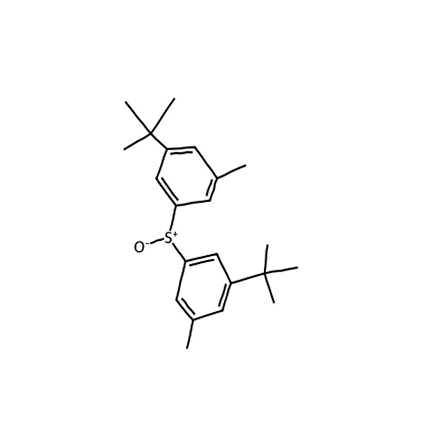 Cc1cc([S+]([O-])c2cc(C)cc(C(C)(C)C)c2)cc(C(C)(C)C)c1